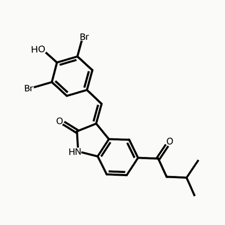 CC(C)CC(=O)c1ccc2c(c1)C(=Cc1cc(Br)c(O)c(Br)c1)C(=O)N2